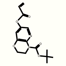 C=CC(=O)Oc1cnc2c(c1)OCCN2C(=O)OC(C)(C)C